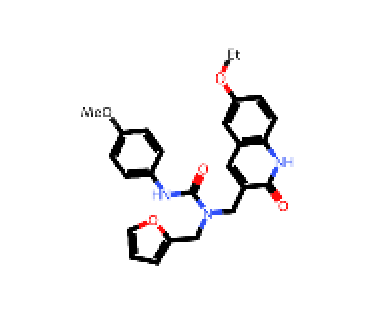 CCOc1ccc2[nH]c(=O)c(CN(Cc3ccco3)C(=O)Nc3ccc(OC)cc3)cc2c1